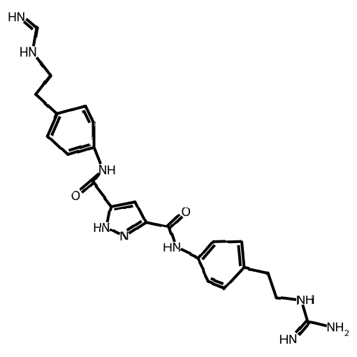 N=CNCCc1ccc(NC(=O)c2cc(C(=O)Nc3ccc(CCNC(=N)N)cc3)n[nH]2)cc1